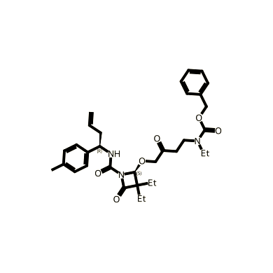 C=CC[C@@H](NC(=O)N1C(=O)C(CC)(CC)[C@@H]1OCC(=O)CCN(CC)C(=O)OCc1ccccc1)c1ccc(C)cc1